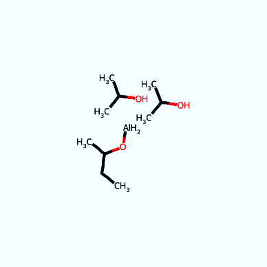 CC(C)O.CC(C)O.CCC(C)[O][AlH2]